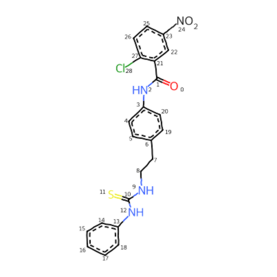 O=C(Nc1ccc(CCNC(=S)Nc2ccccc2)cc1)c1cc([N+](=O)[O-])ccc1Cl